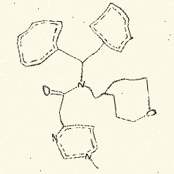 Cn1cnc(C(=O)N(C2CCOCC2)C(c2ccccc2)c2ccccc2)c1